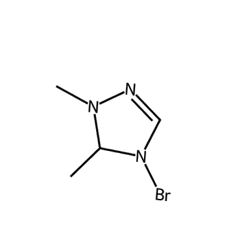 CC1N(Br)C=NN1C